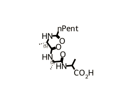 CCCCCC(=O)N[C@@H](C)C(=O)N[C@@H](C)C(=O)NC(C)C(=O)O